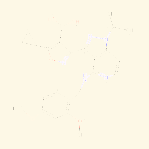 COc1ccc(CNc2nccc3c2c(-c2noc(C4CC4)c2B(O)O)nn3C(C)C)c(OC)c1